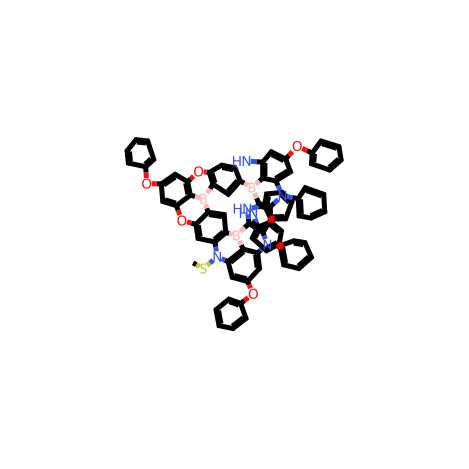 CSN1c2cc3c(cc2B2c4[nH]c5ccccc5c4N(c4ccccc4)c4cc(Oc5ccccc5)cc1c42)B1c2cc4c(cc2Oc2cc(Oc5ccccc5)cc(c21)O3)Nc1cc(Oc2ccccc2)cc2c1B4c1[nH]c3ccccc3c1N2c1ccccc1